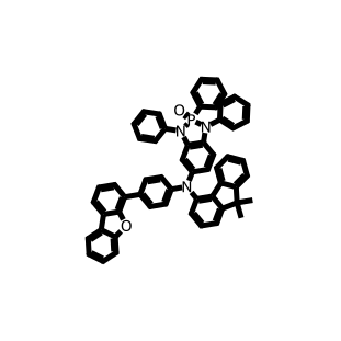 CC1(C)c2ccccc2-c2c(N(c3ccc(-c4cccc5c4oc4ccccc45)cc3)c3ccc4c(c3)N(c3ccccc3)P(=O)(c3ccccc3)N4c3ccccc3)cccc21